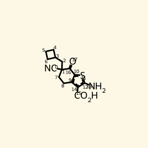 N#CC1(CC2CCC2)CCc2c(sc(N)c2C(=O)O)C1=O